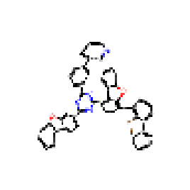 c1cncc(-c2cccc(-c3nc(-c4ccc5c(c4)oc4ccccc45)nc(-c4ccc(-c5cccc6c5sc5ccccc56)c5oc6ccccc6c45)n3)c2)c1